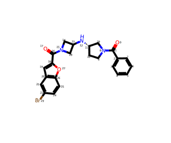 O=C(c1ccccc1)N1CC[C@H](NC2CN(C(=O)c3cc4cc(Br)ccc4o3)C2)C1